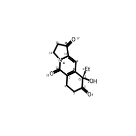 CC[C@@]1(O)C(=O)CCc2c1cc1n(c2=O)CCC1=O